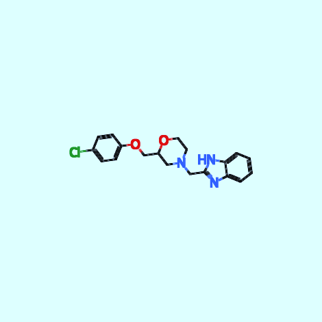 Clc1ccc(OCC2CN(Cc3nc4ccccc4[nH]3)CCO2)cc1